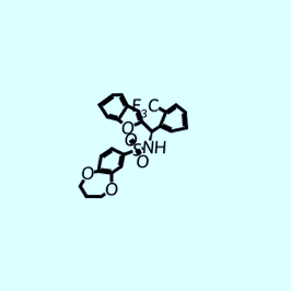 O=S(=O)(N[C@@H](c1cc2ccccc2o1)c1ccccc1C(F)(F)F)c1ccc2c(c1)OCCCO2